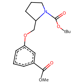 COC(=O)c1cccc(OCC2CCCN2C(=O)OC(C)(C)C)c1